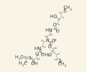 CSCCC(O)COC(=O)NCCN(CCNC(=O)OCC(O)SC(C)C)C(=O)OCC(O)CCSC